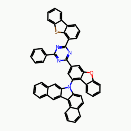 c1ccc(-c2nc(-c3cc(-n4c5cc6ccccc6cc5c5c6ccccc6ccc54)c4c(c3)oc3ccccc34)nc(-c3cccc4c3sc3ccccc34)n2)cc1